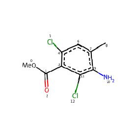 COC(=O)c1c(Cl)cc(C)c(N)c1Cl